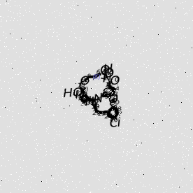 O=C1NS(=O)(=O)/C=C/COC[C@H](O)[C@@H]2CC[C@H]2CN2CCCCc3cc(Cl)ccc3COc3ccc1cc32